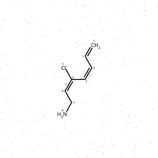 C=C/C=C\C(Cl)=C/CN